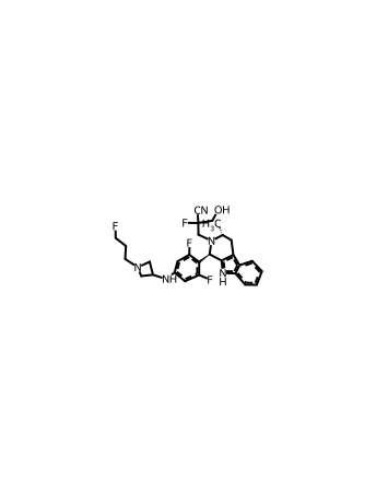 C[C@@H]1Cc2c([nH]c3ccccc23)[C@@H](c2c(F)cc(NC3CN(CCCF)C3)cc2F)N1CC(F)(C#N)CO